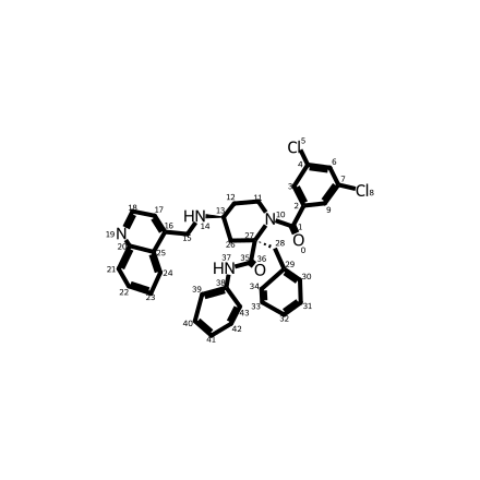 O=C(c1cc(Cl)cc(Cl)c1)N1CC[C@H](NCc2ccnc3ccccc23)C[C@]1(Cc1ccccc1)C(=O)Nc1ccccc1